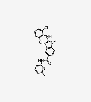 Cc1cccc(NC(=O)c2ccc3c(c2)nc(Nc2c(Cl)cccc2Cl)n3C)n1